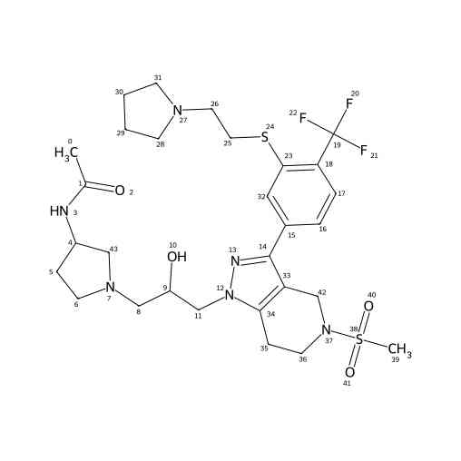 CC(=O)NC1CCN(CC(O)Cn2nc(-c3ccc(C(F)(F)F)c(SCCN4CCCC4)c3)c3c2CCN(S(C)(=O)=O)C3)C1